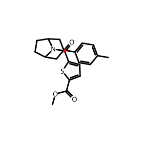 COC(=O)c1ccc(C(=O)N2C3CCC2CC(c2ccc(C)cc2)C3)s1